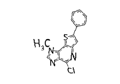 Cn1cnc2c(Cl)nc3cc(-c4ccccc4)sc3c21